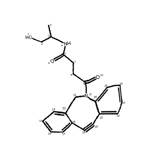 CC(CO)NC(=O)CCC(=O)N1Cc2ccccc2C#Cc2ccccc21